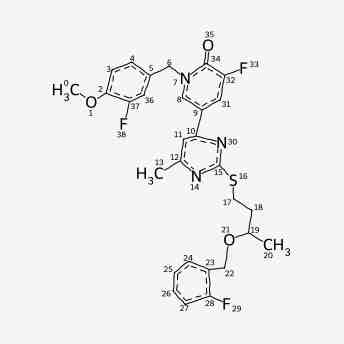 COc1ccc(Cn2cc(-c3cc(C)nc(SCCC(C)OCc4ccccc4F)n3)cc(F)c2=O)cc1F